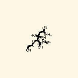 CCC(N)CC(O)(PN(C(C)C)C(C)C)C(CO)OCCC#N